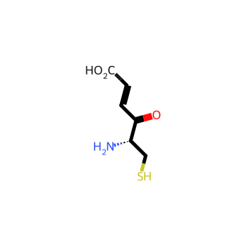 N[C@@H](CS)C(=O)C=CC(=O)O